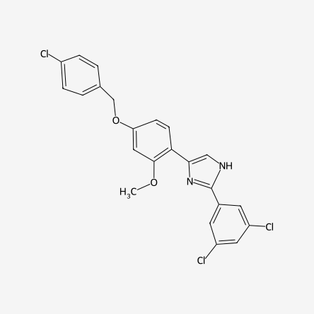 COc1cc(OCc2ccc(Cl)cc2)ccc1-c1c[nH]c(-c2cc(Cl)cc(Cl)c2)n1